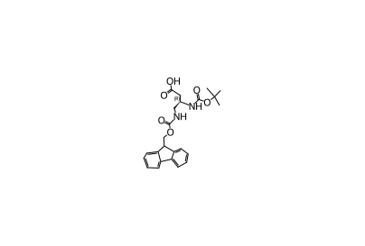 CC(C)(C)OC(=O)N[C@@H](CNC(=O)OCC1c2ccccc2-c2ccccc21)CC(=O)O